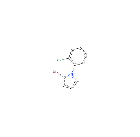 Clc1ccccc1-n1[c]ccc1Br